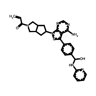 C=CC(=O)N1CC2CC(n3nc(-c4ccc(C(O)Nc5ccccn5)cc4)c4c(N)ncnc43)CC2C1